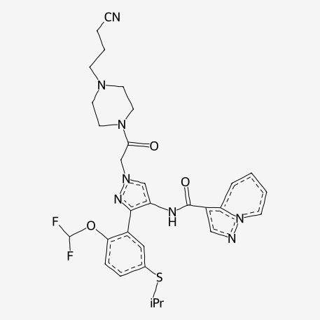 CC(C)Sc1ccc(OC(F)F)c(-c2nn(CC(=O)N3CCN(CCCC#N)CC3)cc2NC(=O)c2cnn3ccccc23)c1